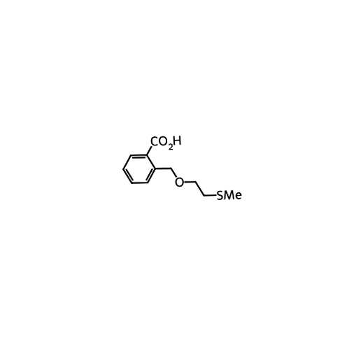 CSCCOCc1ccccc1C(=O)O